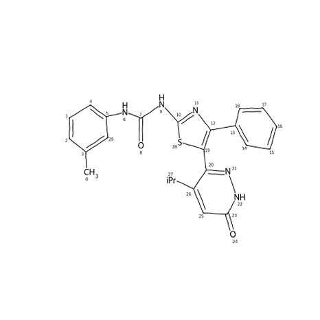 Cc1cccc(NC(=O)Nc2nc(-c3ccccc3)c(-c3n[nH]c(=O)cc3C(C)C)s2)c1